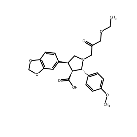 CCOCC(=O)CN1C[C@H](c2ccc3c(c2)OCO3)[C@H](C(=O)O)[C@H]1c1ccc(OC)cc1